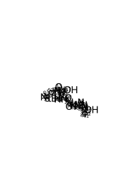 Cc1ncsc1-c1ccc(CNC(=O)[C@@H]2C[C@@H](O)CN2C(=O)[C@@H](CNC(=O)CCC(=O)N2CCN(c3cc(-c4ccccc4O)nnc3N)CC2)C(C)(C)C)cc1